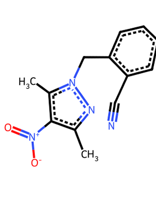 Cc1nn(Cc2ccccc2C#N)c(C)c1[N+](=O)[O-]